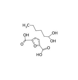 CCCCCC(O)O.O=C(O)c1ccc(C(=O)O)o1